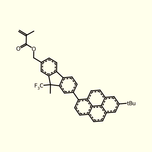 C=C(C)C(=O)OCc1ccc2c(c1)C(C)(C(F)(F)F)c1cc(-c3ccc4ccc5cc(C(C)(C)C)cc6ccc3c4c56)ccc1-2